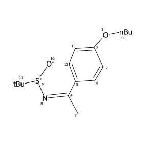 CCCCOc1ccc(/C(C)=N\[S+]([O-])C(C)(C)C)cc1